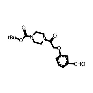 CC(C)(C)OC(=O)N1CCN(C(=O)COc2cccc(C=O)c2)CC1